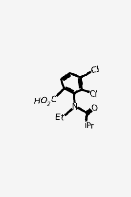 CCN(C(=O)C(C)C)c1c(C(=O)O)ccc(Cl)c1Cl